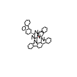 c1ccc(-c2nc(-c3ccc4oc5ccccc5c4c3)nc(-n3c4ccccc4c4ccc5c6ccccc6n(-c6ccccc6)c5c43)n2)cc1